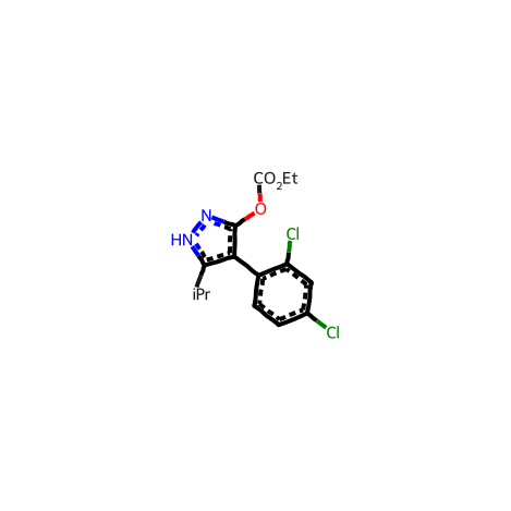 CCOC(=O)Oc1n[nH]c(C(C)C)c1-c1ccc(Cl)cc1Cl